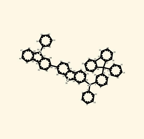 c1ccc(N(c2cccc(C3(c4ccccc4)c4ccccc4-c4ccccc43)c2)c2ccc3c(c2)oc2cc(-c4ccc5c6ccccc6n(-c6ccccc6)c5c4)ccc23)cc1